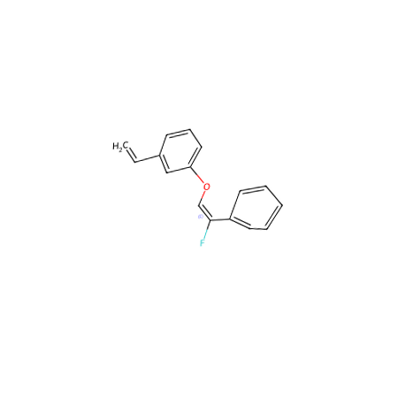 C=Cc1cccc(O/C=C(/F)c2ccccc2)c1